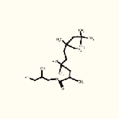 CC(CC(C)(N)CCC(C)(C)CC(C)(C)C)C(=O)OCC(O)CO